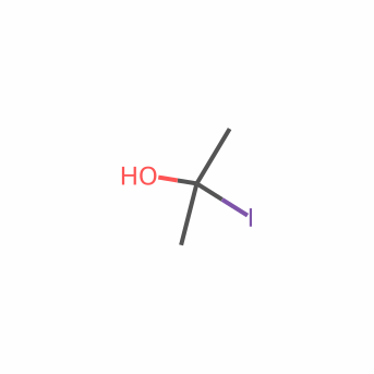 CC(C)(O)I